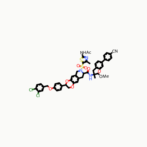 COC(=O)C(C)(Cc1ccc(-c2ccc(C#N)cc2)cc1)NC(=O)C1Cc2cc3c(cc2CN1S(=O)(=O)c1sc(NC(C)=O)nc1C)OC(c1ccc(OCc2ccc(Cl)c(Cl)c2)cc1)CO3